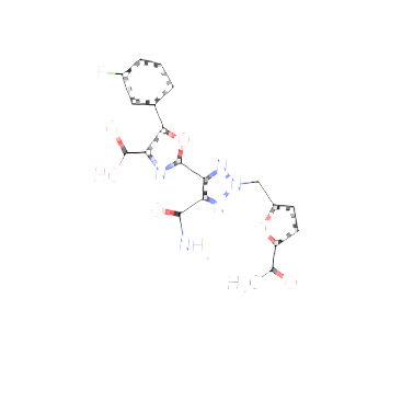 CC(=O)c1ccc(Cn2nc(C(N)=O)c(-c3nc(C(=O)O)c(-c4cccc(F)c4)o3)n2)o1